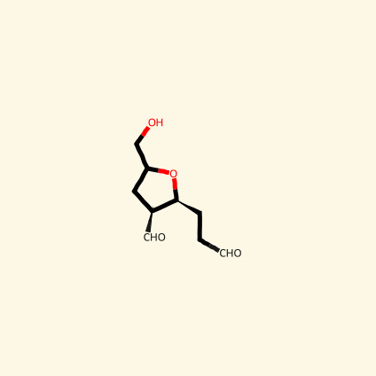 O=CCC[C@@H]1OC(CO)C[C@@H]1C=O